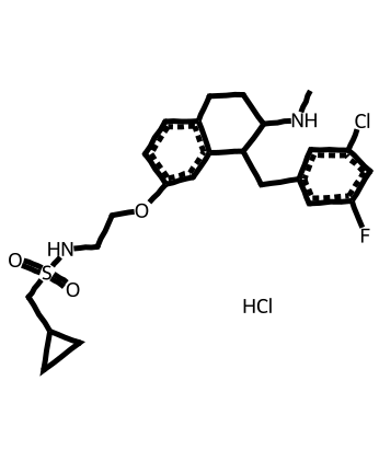 CNC1CCc2ccc(OCCNS(=O)(=O)CC3CC3)cc2C1Cc1cc(F)cc(Cl)c1.Cl